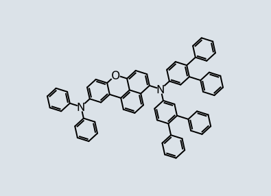 c1ccc(-c2ccc(N(c3ccc(-c4ccccc4)c(-c4ccccc4)c3)c3ccc4c5c(cccc35)-c3cc(N(c5ccccc5)c5ccccc5)ccc3O4)cc2-c2ccccc2)cc1